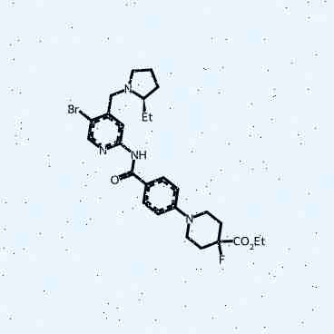 CCOC(=O)C1(F)CCN(c2ccc(C(=O)Nc3cc(CN4CCC[C@H]4CC)c(Br)cn3)cc2)CC1